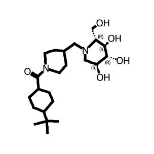 CC(C)(C)C1CCC(C(=O)N2CCC(CN3C[C@H](O)[C@@H](O)[C@H](O)[C@H]3CO)CC2)CC1